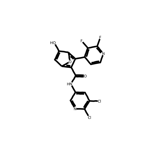 O=C(Nc1cnc(Cl)c(Cl)c1)c1c(-c2ccnc(F)c2F)c2oc1cc2O